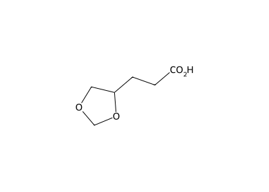 O=C(O)CCC1COCO1